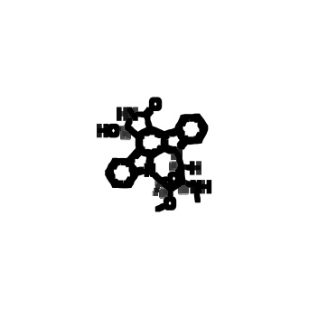 CN[C@H]1[C@@H](OC)[C@]2(C)O[C@@H]1n1c3ccccc3c3c4c(c5c6ccccc6n2c5c31)[C@H](O)NC4=O